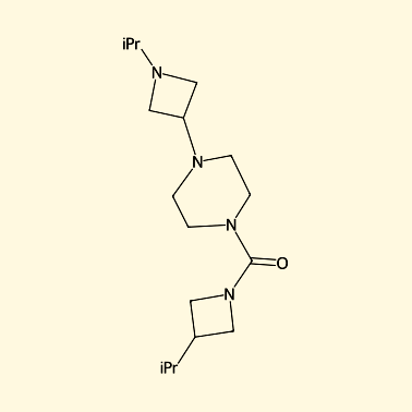 CC(C)C1CN(C(=O)N2CCN(C3CN(C(C)C)C3)CC2)C1